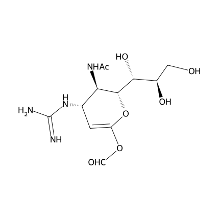 CC(=O)N[C@H]1[C@H]([C@H](O)[C@H](O)CO)OC(OC=O)=C[C@@H]1NC(=N)N